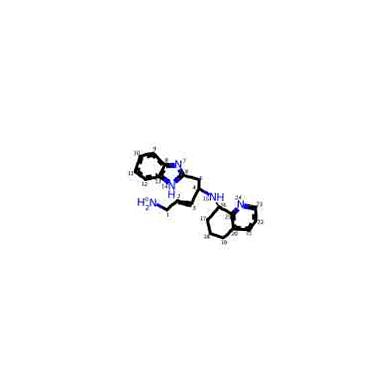 NCC=CC(Cc1nc2ccccc2[nH]1)N[C@H]1CCCc2cccnc21